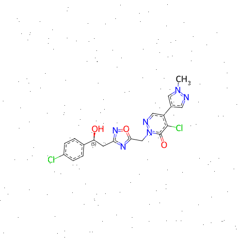 Cn1cc(-c2cnn(Cc3nc(C[C@H](O)c4ccc(Cl)cc4)no3)c(=O)c2Cl)cn1